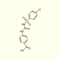 O=C(Nc1ccc(C(=O)O)cc1)NS(=O)(=O)c1ccc(Cl)cc1